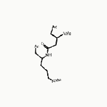 CNCCCC(CC(C)=O)NC(=O)CC(CC(C)=O)NC